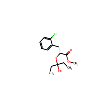 CCC(O)(CC)O[C@H](Cc1ccccc1Cl)C(=O)OC